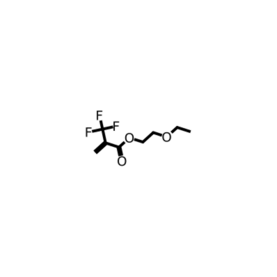 C=C(C(=O)OCCOCC)C(F)(F)F